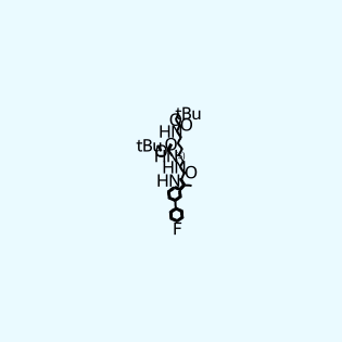 Cc1c(C(=O)NC[C@H](CCCNC(=O)OC(C)(C)C)NC(=O)OC(C)(C)C)[nH]c2ccc(-c3ccc(F)cc3)cc12